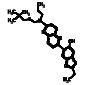 CCCN(CSCC(C)(C)C)c1ccc2nc(-c3cc4oc(CC)nc4cc3O)ccc2n1